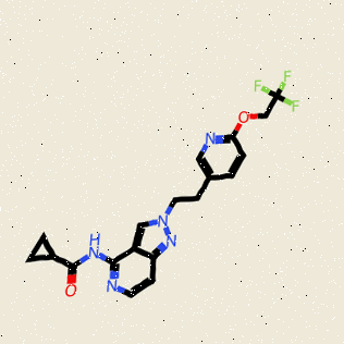 O=C(Nc1nccc2nn(CCc3ccc(OCC(F)(F)F)nc3)cc12)C1CC1